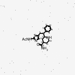 CC(=O)Nc1ncc(CC(c2ccccc2)C2CC(C(N)=O)CCN2)s1